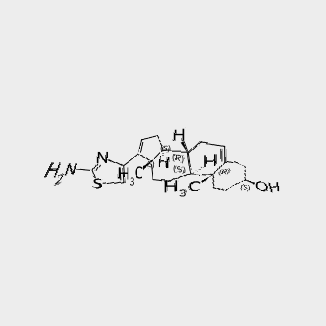 C[C@]12CC[C@H](O)CC1=CC[C@@H]1[C@@H]2CC[C@]2(C)C(c3csc(N)n3)=CC[C@@H]12